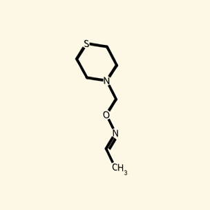 CC=NOCN1CCSCC1